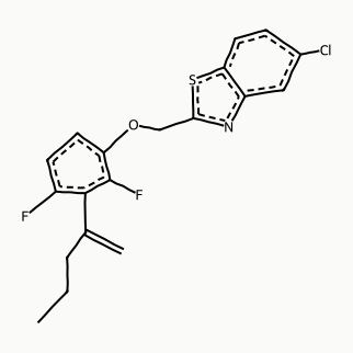 C=C(CCC)c1c(F)ccc(OCc2nc3cc(Cl)ccc3s2)c1F